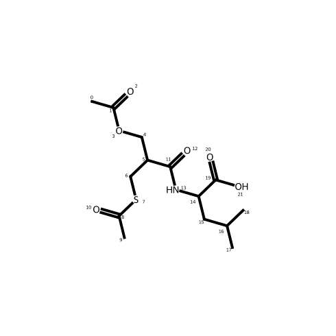 CC(=O)OCC(CSC(C)=O)C(=O)NC(CC(C)C)C(=O)O